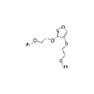 CC(C)OCCOc1cocc1OCCOC(C)C